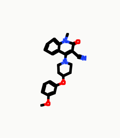 COc1cccc(OC2CCN(c3c(C#N)c(=O)n(C)c4ccccc34)CC2)c1